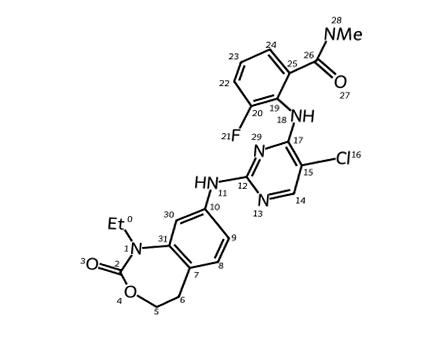 CCN1C(=O)OCCc2ccc(Nc3ncc(Cl)c(Nc4c(F)cccc4C(=O)NC)n3)cc21